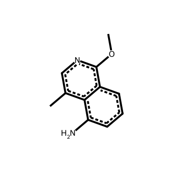 COc1ncc(C)c2c(N)cccc12